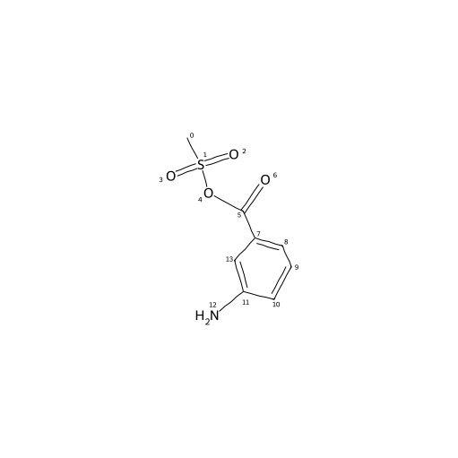 CS(=O)(=O)OC(=O)c1cccc(N)c1